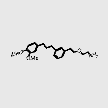 COc1ccc(CCCc2cccc(CCOCCN)c2)cc1OC